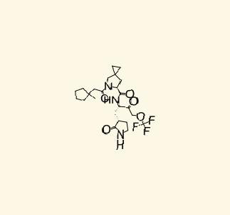 CC1(CC(=O)N2CC3(CC3)C[C@H]2C(=O)N[C@@H](C[C@@H]2CCNC2=O)C(=O)COC(F)(F)F)CCCC1